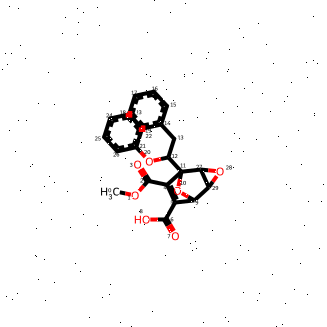 COC(=O)C1=C(C(=O)O)C2OC1(C(Cc1ccccc1)Oc1ccccc1)C1OC21